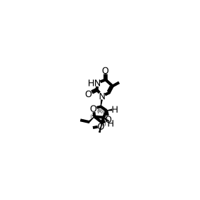 CC[C@]12O[C@@H](n3cc(C)c(=O)[nH]c3=O)[C@H](O[C@H]1C)[C@@H]2OC